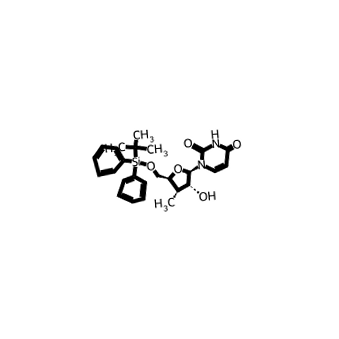 C[C@H]1[C@@H](O)[C@H](n2ccc(=O)[nH]c2=O)O[C@@H]1CO[Si](c1ccccc1)(c1ccccc1)C(C)(C)C